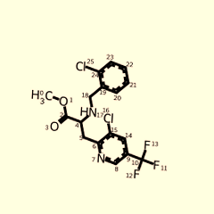 COC(=O)C(Cc1ncc(C(F)(F)F)cc1Cl)NCc1ccccc1Cl